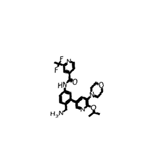 CC(C)Oc1ncc(-c2cc(NC(=O)c3ccnc(C(C)(F)F)c3)ccc2CN)cc1N1CCOCC1